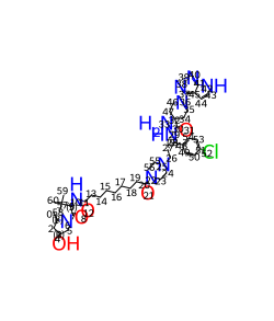 C[C@@H]1C[C@@H](O)CN1C(=O)[C@@H](NC(=O)CCCCCCCC(=O)N1CCN(CC[C@H](NC(=O)C2(N)CCN(c3ncnc4[nH]ccc34)CC2)c2ccc(Cl)cc2)CC1)C(C)(C)C